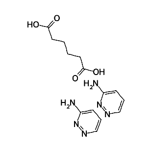 Nc1cccnn1.Nc1cccnn1.O=C(O)CCCCC(=O)O